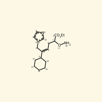 CCOC(=O)C(CC=C(Cn1ccnc1)C1CCCCC1)ON